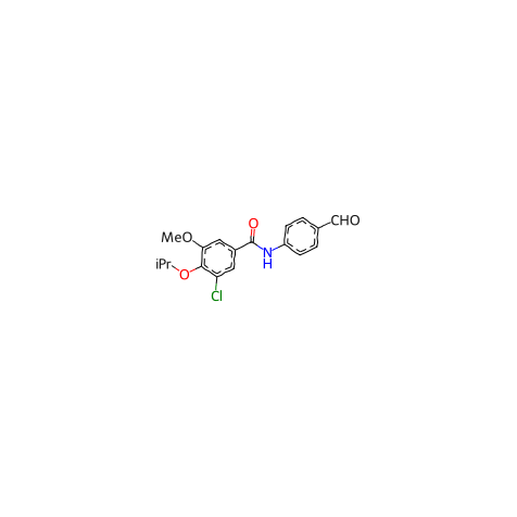 COc1cc(C(=O)Nc2ccc(C=O)cc2)cc(Cl)c1OC(C)C